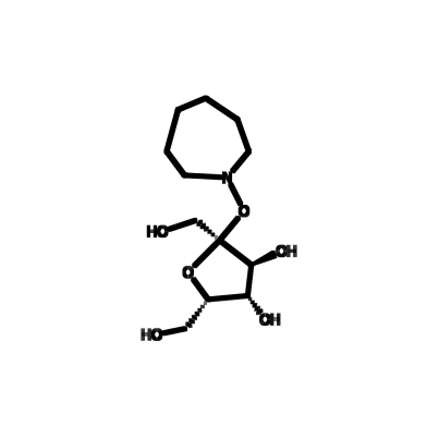 OC[C@@H]1O[C@@](CO)(ON2CCCCCC2)[C@@H](O)[C@@H]1O